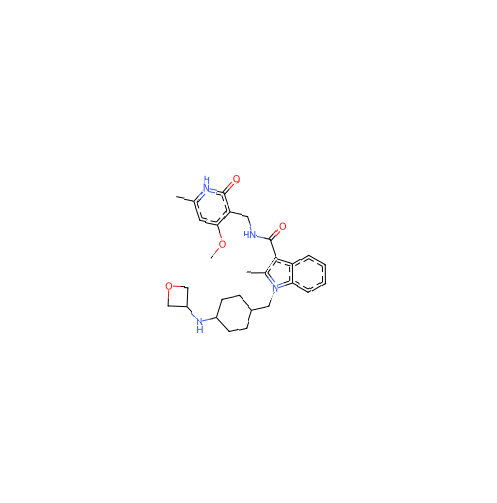 COc1cc(C)[nH]c(=O)c1CNC(=O)c1c(C)n(CC2CCC(NC3COC3)CC2)c2ccccc12